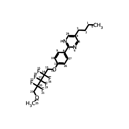 CCCCc1cnc(-c2ccc(OCC(F)(F)C(F)(F)C(F)(F)COC)cc2)nc1